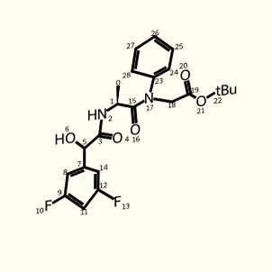 C[C@H](NC(=O)C(O)c1cc(F)cc(F)c1)C(=O)N(CC(=O)OC(C)(C)C)c1ccccc1